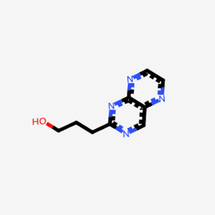 OCCCc1ncc2nccnc2n1